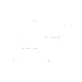 O=C(O)CC(O)C(=O)O.[Tb]